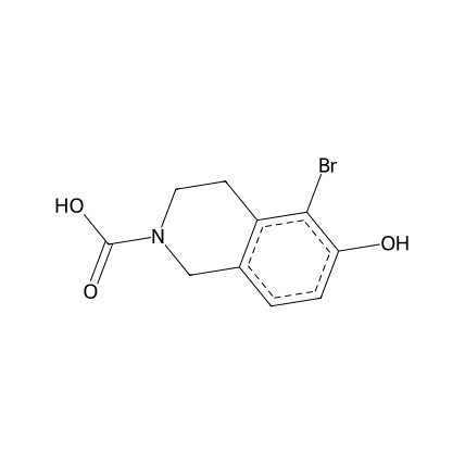 O=C(O)N1CCc2c(ccc(O)c2Br)C1